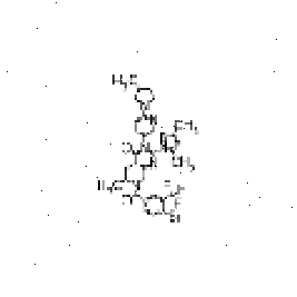 Cc1cc(C)n(-c2nc3c(c(=O)n2-c2ccc(N4CCC(C)C4)nc2)CC(C)N(C(=O)c2ccc(Br)c(C(F)(F)F)c2)C3)n1